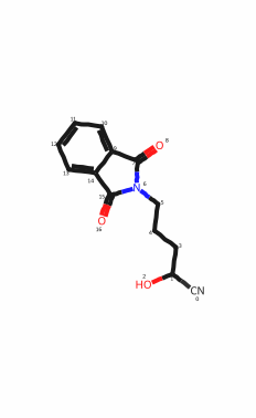 N#CC(O)CCCN1C(=O)c2ccccc2C1=O